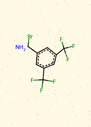 FC(F)(F)c1cc(CBr)cc(C(F)(F)F)c1.N